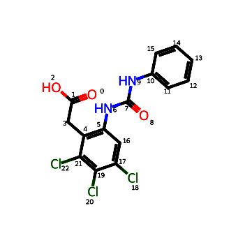 O=C(O)Cc1c(NC(=O)Nc2ccccc2)cc(Cl)c(Cl)c1Cl